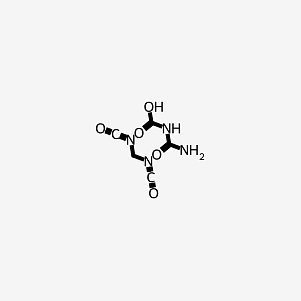 NC(=O)NC(=O)O.O=C=NCN=C=O